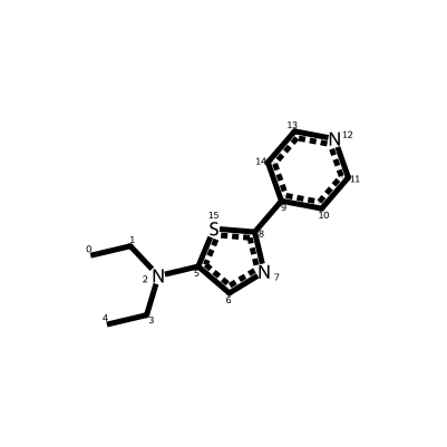 CCN(CC)c1cnc(-c2ccncc2)s1